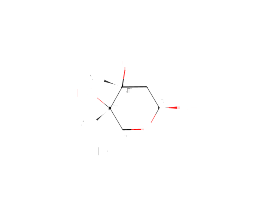 CC(=O)[C@@]1(O)C[C@@H](O)O[C@H](C)[C@@]1(O)C(C)=O